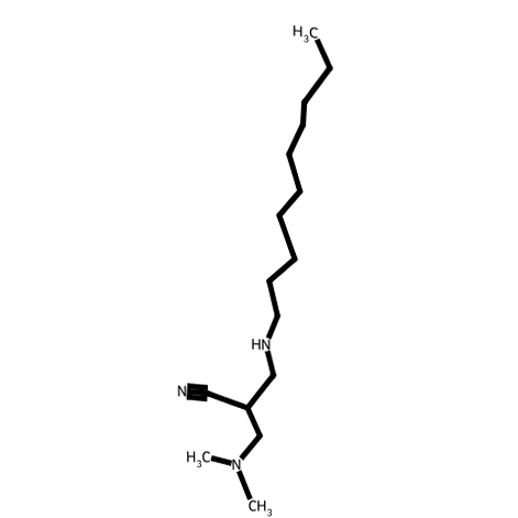 CCCCCCCCCCNCC(C#N)CN(C)C